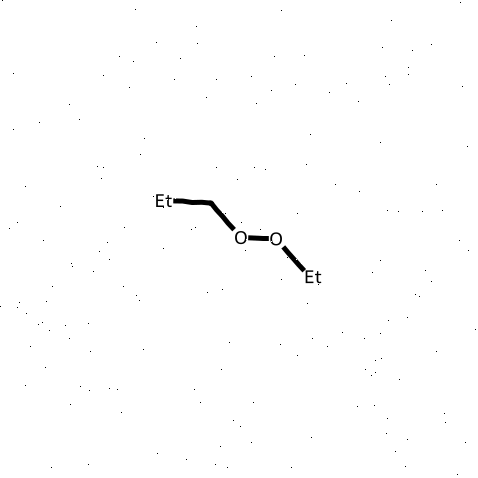 [CH2]CCOOCC